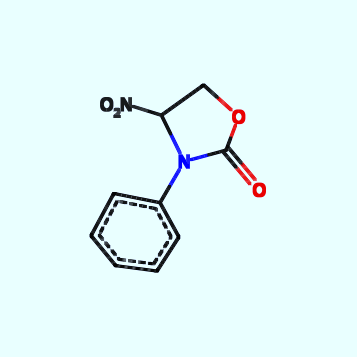 O=C1OCC([N+](=O)[O-])N1c1ccccc1